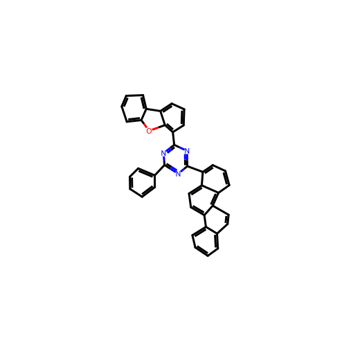 c1ccc(-c2nc(-c3cccc4c3ccc3c5ccccc5ccc43)nc(-c3cccc4c3oc3ccccc34)n2)cc1